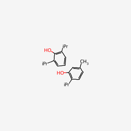 CC(C)c1cccc(C(C)C)c1O.Cc1ccc(C(C)C)c(O)c1